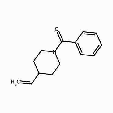 C=CC1CCN(C(=O)c2ccccc2)CC1